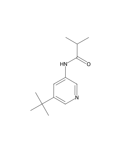 CC(C)C(=O)Nc1cncc(C(C)(C)C)c1